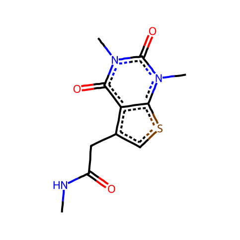 CNC(=O)Cc1csc2c1c(=O)n(C)c(=O)n2C